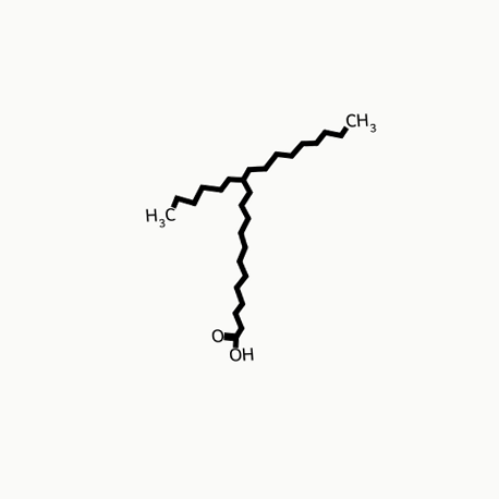 CCCCCCCCCC(CCCCCC)CCCCCCCCCCCC(=O)O